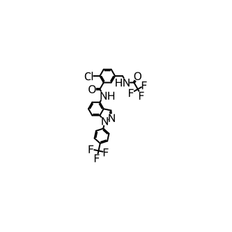 O=C(Nc1cccc2c1cnn2-c1ccc(C(F)(F)F)cc1)c1cc(CNC(=O)C(F)(F)F)ccc1Cl